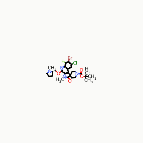 CN1C(=O)C2(CCN(C(=O)OC(C)(C)C)CC2)c2c1c(OC[C@@H]1CCCN1C)nc1c(F)c(Br)c(Cl)cc21